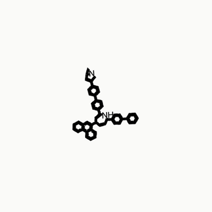 C1=CC(c2ccc(-c3ccccc3)cc2)NC(c2ccc(-c3ccc(C4=CC5CN5C4)cc3)cc2)=CC1c1cc2ccccc2c2ccccc12